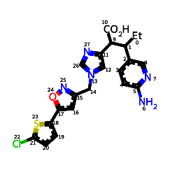 CCC(c1ccc(N)nc1)C(C(=O)O)c1cn(Cc2cc(-c3ccc(Cl)s3)on2)cn1